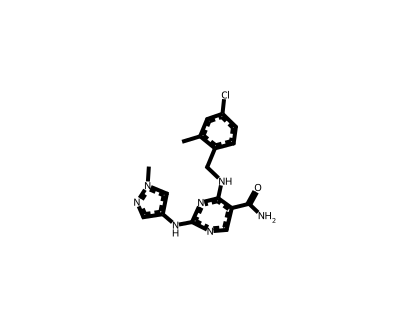 Cc1cc(Cl)ccc1CNc1nc(Nc2cnn(C)c2)ncc1C(N)=O